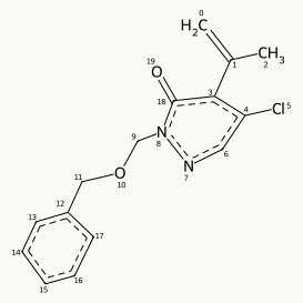 C=C(C)c1c(Cl)cnn(COCc2ccccc2)c1=O